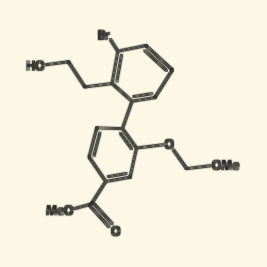 COCOc1cc(C(=O)OC)ccc1-c1cccc(Br)c1CCO